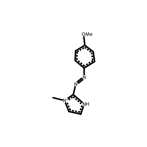 COc1ccc(/N=N/c2[nH]cc[n+]2C)cc1